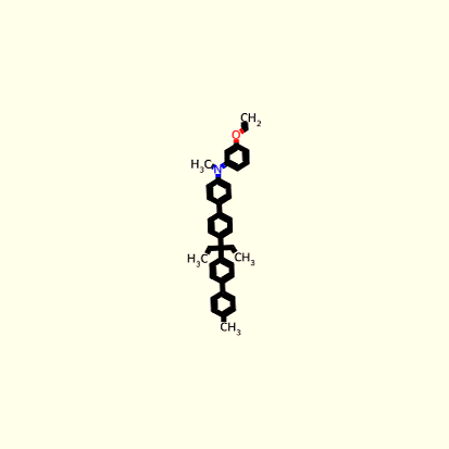 C=COc1cccc(N(C)c2ccc(-c3ccc(C(CC)(CC)c4ccc(-c5ccc(C)cc5)cc4)cc3)cc2)c1